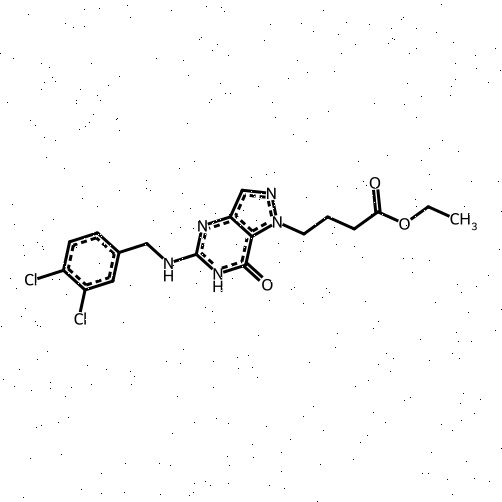 CCOC(=O)CCCn1ncc2nc(NCc3ccc(Cl)c(Cl)c3)[nH]c(=O)c21